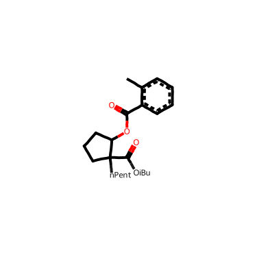 CCCCCC1(C(=O)OCC(C)C)CCCC1OC(=O)c1ccccc1C